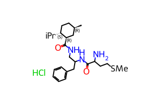 CSCCC(N)C(=O)NC(CNC(=O)[C@@H]1C[C@H](C)CC[C@H]1C(C)C)Cc1ccccc1.Cl